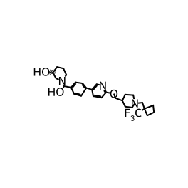 OC(c1ccc(-c2ccc(OCC3CCN(CC4(C(F)(F)F)CCC4)CC3)nc2)cc1)N1CCC[C@H](O)C1